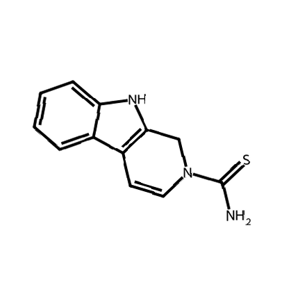 NC(=S)N1C=Cc2c([nH]c3ccccc23)C1